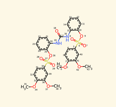 COc1ccc(S(=O)(=O)Oc2ccccc2NC(=O)Nc2ccccc2OS(=O)(=O)c2ccc(OC)c(OC)c2)cc1OC